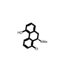 CCc1cccc2c1[C@H](NC)Cc1cccc(O)c1-2